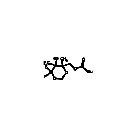 CCC(C)C(=O)OCC1(C)OCOC(F)(F)C1(O)C(F)(F)F